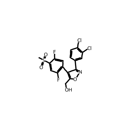 CS(=O)(=O)c1cc(F)c(-c2c(-c3ccc(Cl)c(Cl)c3)noc2CO)cc1F